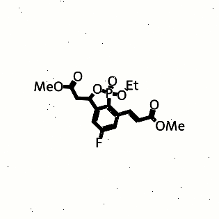 CCOP1(=O)OC(CC(=O)OC)c2cc(F)cc(/C=C/C(=O)OC)c21